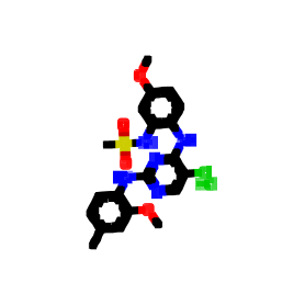 COc1ccc(Nc2nc(Nc3ccc(C)cc3OC)ncc2Cl)c(NS(C)(=O)=O)c1.Cl